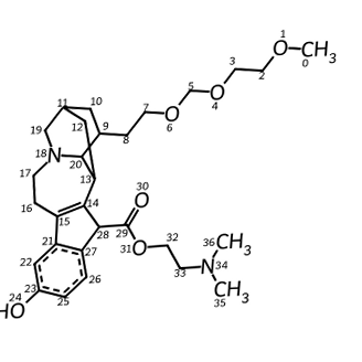 COCCOCOCCC1CC2CC3C4=C(CCN(C2)C13)c1cc(O)ccc1C4C(=O)OCCN(C)C